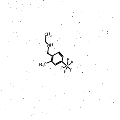 CCNCc1ccc(S(F)(F)(F)(F)F)cc1C